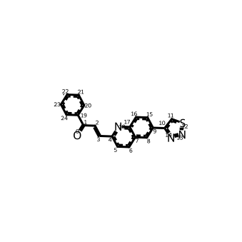 O=C(C=Cc1ccc2cc(-c3csnn3)ccc2n1)c1cc[c]cc1